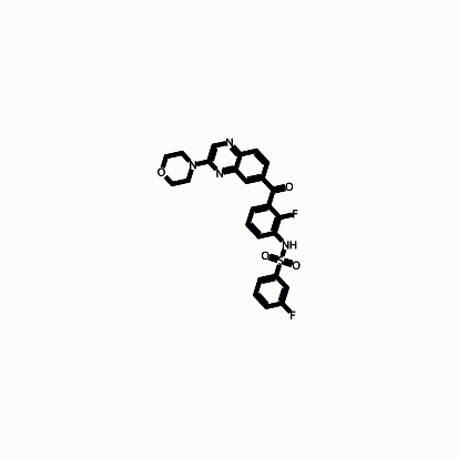 O=C(c1ccc2ncc(N3CCOCC3)nc2c1)c1cccc(NS(=O)(=O)c2cccc(F)c2)c1F